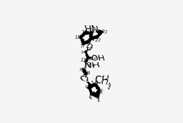 Cc1ccccc1OCCNCC(O)COc1cccc2[nH]ccc12